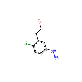 NNc1ccc(Br)c(CCO)c1